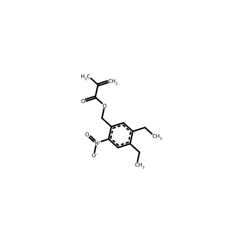 C=C(C)C(=O)OCc1cc(CC)c(CC)cc1[N+](=O)[O-]